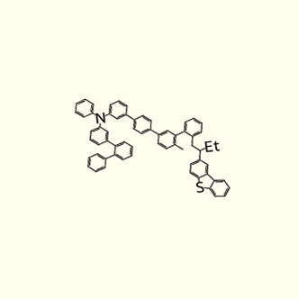 CCC(Cc1ccccc1-c1cc(-c2ccc(-c3cccc(N(c4ccccc4)c4cccc(-c5ccccc5-c5ccccc5)c4)c3)cc2)ccc1C)c1ccc2sc3ccccc3c2c1